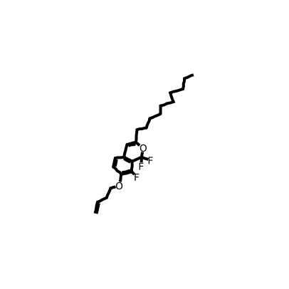 C=CCCOc1ccc2c(c1F)C(F)(F)OC(CCCCCCCCCC)=C2